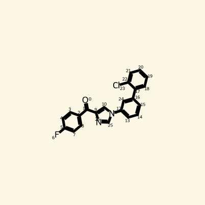 O=C(c1ccc(F)cc1)c1cn(-c2cccc(-c3ccccc3Cl)c2)cn1